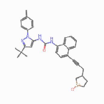 Cc1ccc(-n2nc(C(C)(C)C)cc2NC(=O)Nc2ccc(C#CCC3CC[S+]([O-])C3)c3ccccc23)cc1